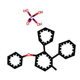 Cc1ccc(Oc2ccccc2)c(-c2ccccc2)c1-c1ccccc1.O=P(O)(O)O